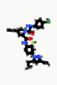 CO[C@@H]1C[C@H](C(=O)Nc2ccc(-n3nc(C)cc3CC(C)C)cc2F)N(C(=O)Nc2ccc(Cl)cc2)C1